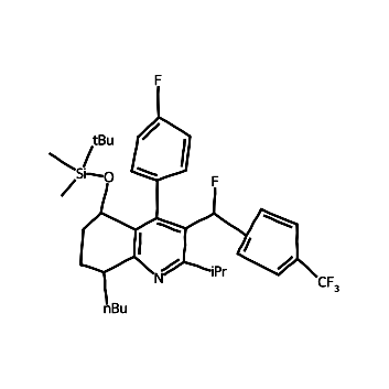 CCCCC1CCC(O[Si](C)(C)C(C)(C)C)c2c1nc(C(C)C)c(C(F)c1ccc(C(F)(F)F)cc1)c2-c1ccc(F)cc1